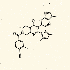 C#Cc1ccc(C(=O)N2Cc3nc(-n4nc(C)cc4C)n(-c4cnc5c(c4)ncn5C)c(=O)c3C[C@H]2C)cc1C